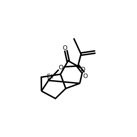 C=C(C)C(=O)OC1(CC)C2CC3C(=O)OC1C3C2